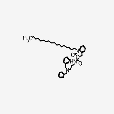 CCCCCCCCCCCCCCCCCCN(C=O)c1ccccc1COC(=O)NCCCN(Cc1ccccc1)Cc1ccccc1